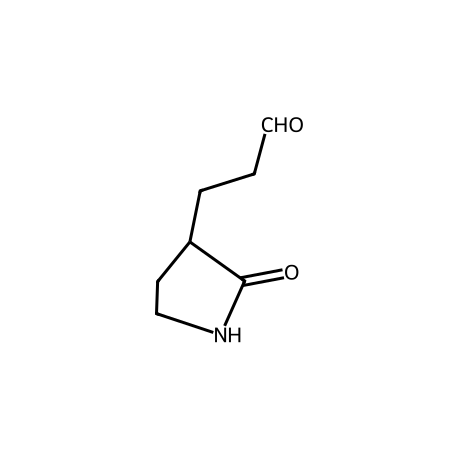 O=CCCC1CCNC1=O